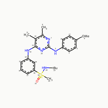 COc1ccc(Nc2nc(C)c(C)c(Nc3cccc([SH](C)(=O)NC(C)(C)C)c3)n2)cc1